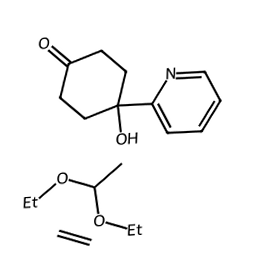 C=C.CCOC(C)OCC.O=C1CCC(O)(c2ccccn2)CC1